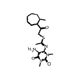 C/C(=N\c1c(N)c(=O)n(C)c(=O)n1C)SCC(=O)C1CCCCCC1C